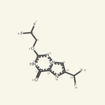 O=c1[nH]c(OCC(F)F)nn2cc(C(F)F)nc12